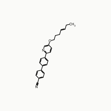 CCC=CCCCOc1ccc(-c2ccc(-c3ccc(C#N)cc3)cc2)nc1